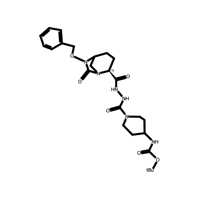 CC(C)(C)OC(=O)NC1CCN(C(=O)NNC(=O)[C@@H]2CCC3CN2C(=O)N3OCc2ccccc2)CC1